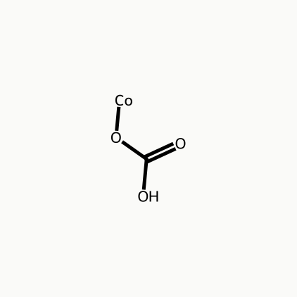 O=C(O)[O][Co]